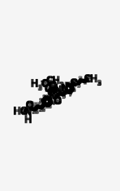 CCCCOc1ccc(CC(NC(=O)OC(C)(C)C)C(=O)Nc2ccc(CCCC(=O)NO)cc2)nc1